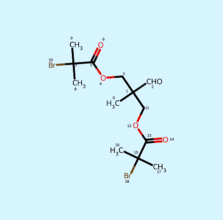 CC(C=O)(COC(=O)C(C)(C)Br)COC(=O)C(C)(C)Br